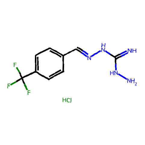 Cl.N=C(NN)N/N=C/c1ccc(C(F)(F)F)cc1